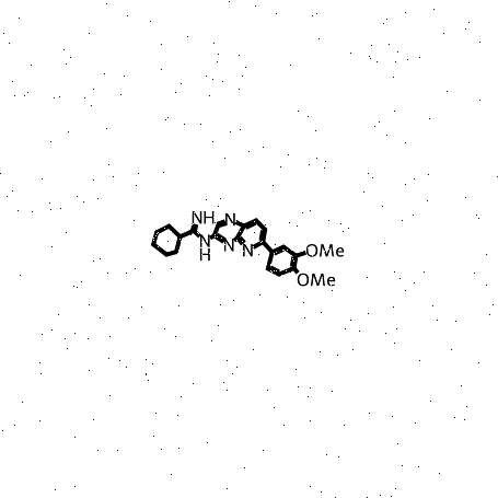 COc1ccc(-c2ccc3ncc(NC(=N)C4CCCCC4)nc3n2)cc1OC